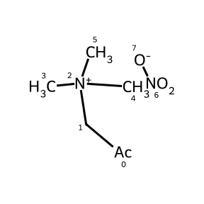 CC(=O)C[N+](C)(C)C.O=[N+]([O-])[O-]